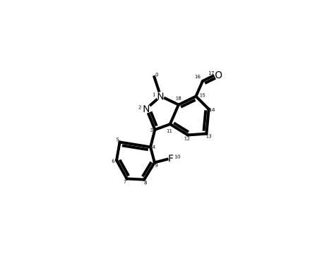 Cn1nc(-c2ccccc2F)c2cccc(C=O)c21